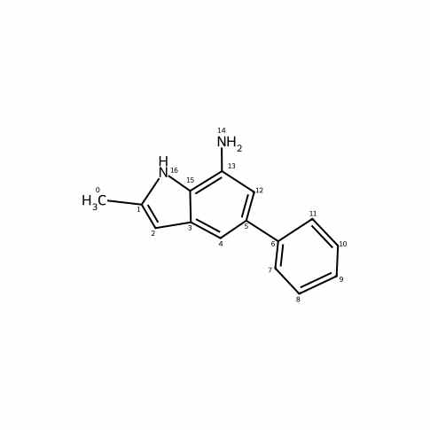 Cc1cc2cc(-c3ccccc3)cc(N)c2[nH]1